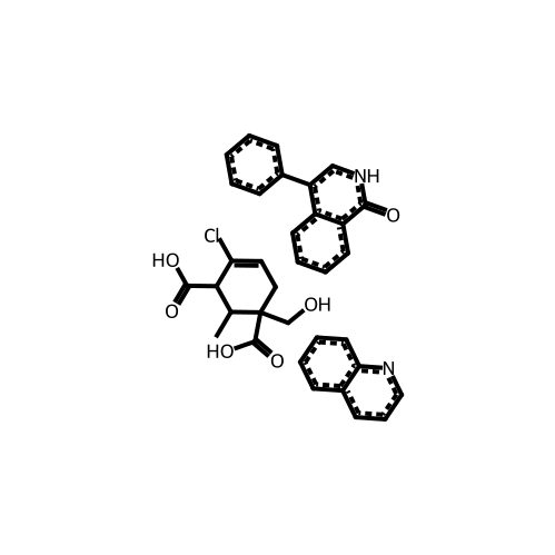 CC1C(C(=O)O)C(Cl)=CCC1(CO)C(=O)O.O=c1[nH]cc(-c2ccccc2)c2ccccc12.c1ccc2ncccc2c1